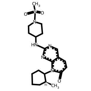 C[C@H]1CCCCC1n1c(=O)ccc2cnc(NC3CCN(S(C)(=O)=O)CC3)nc21